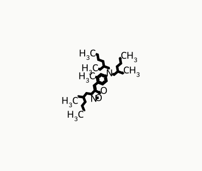 CCCCC(CC)CC1=NOC(=O)C1=Cc1ccc(N(CC(CC)CCCC)CC(CC)CCCC)cc1C